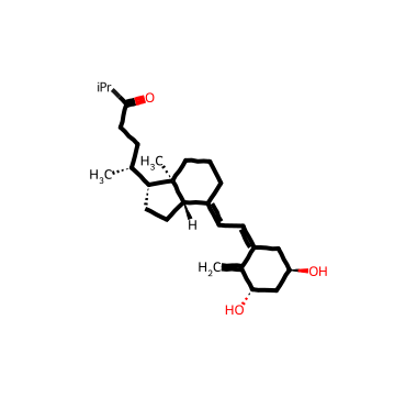 C=C1/C(=C\C=C2/CCC[C@]3(C)[C@@H]([C@H](C)CCC(=O)C(C)C)CC[C@@H]23)C[C@@H](O)C[C@@H]1O